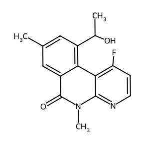 Cc1cc(C(C)O)c2c(c1)c(=O)n(C)c1nccc(F)c21